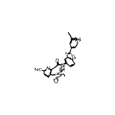 Cc1cncc(-c2nc3cc(NC(=O)c4nc(C#N)ccc4S(C)(=O)=O)ccc3o2)c1